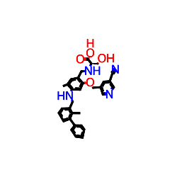 Cc1cc(CN[C@H](CO)C(=O)O)c(OCc2cncc(C#N)c2)cc1NCc1cccc(-c2ccccc2)c1C